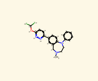 CN1CCN(c2ccccc2)c2ccc(-c3ccc(OC(F)F)nn3)cc2C1